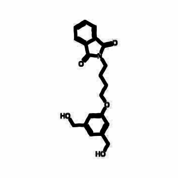 O=C1c2ccccc2C(=O)N1CCCCOc1cc(CO)cc(CO)c1